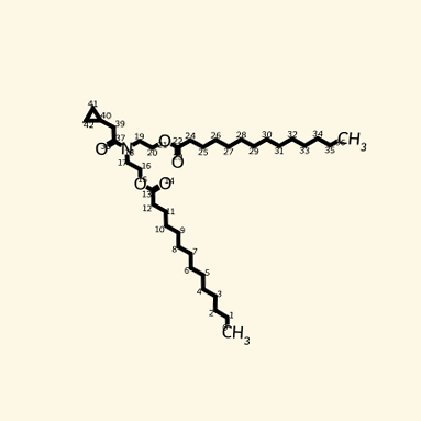 CCCCCCCCCCCCCC(=O)OCCN(CCOC(=O)CCCCCCCCCCCCC)C(=O)CC1CC1